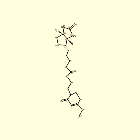 CCOC1=CC(=O)C(CCOC(=O)CCCC[C@@H]2SC[C@@H]3NC(=O)N[C@@H]32)CC1